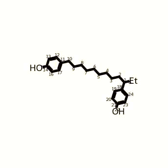 CCC(CCCCCCCCCc1ccc(O)cc1)c1ccc(O)cc1